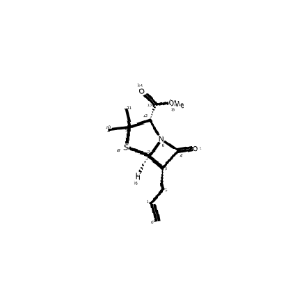 C=CC[C@@H]1C(=O)N2[C@@H]1SC(C)(C)[C@@H]2C(=O)OC